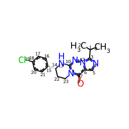 CC(C)c1ncc2c(=O)n3c(nn12)N[C@@H](c1ccc(Cl)cc1)CC3